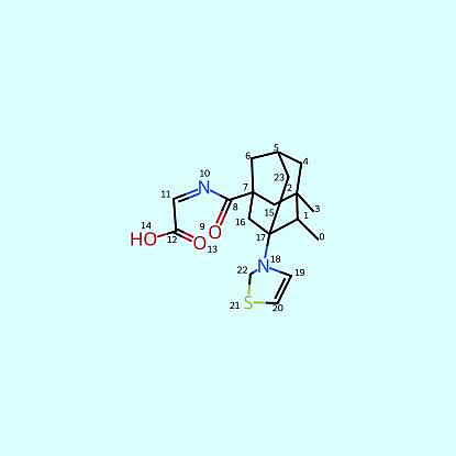 CC1C2(C)CC3CC(C(=O)/N=C\C(=O)O)(C2)CC1(N1C=CSC1)C3